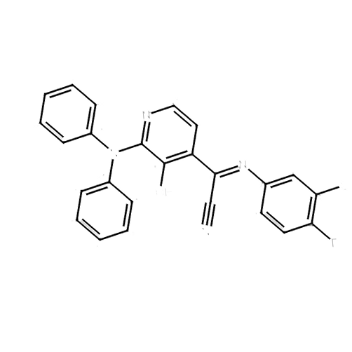 N#C/C(=N\c1ccc(F)c(Cl)c1)c1ccnc(N(c2ccccc2)c2ccccc2)c1O